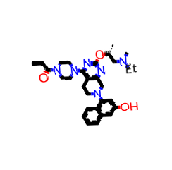 C=CC(=O)N1CCN(c2nc(O[C@H](C)CN(C)CC)nc3c2CCN(c2cc(O)cc4ccccc24)C3)CC1